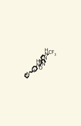 O=C(NC1CCN(CCN2CCCC2)CC1)c1ncc2nc(NCC(F)(F)F)ccc2n1